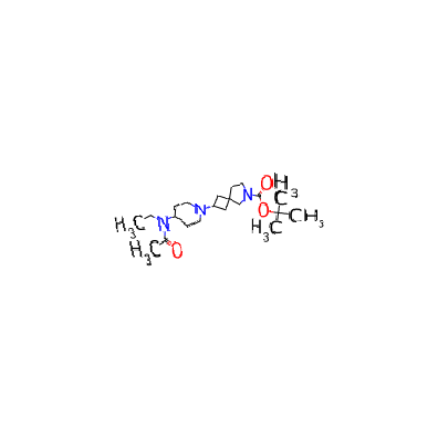 CCN(C(C)=O)C1CCN(C2CC3(CCN(C(=O)OC(C)(C)C)C3)C2)CC1